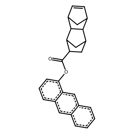 O=C(Oc1cccc2cc3ccccc3cc12)C1CC2CC1C1C3C=CC(C3)C21